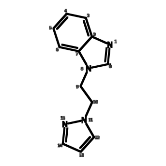 [c]1nc2ccccc2n1CCn1cccn1